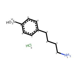 Cl.NCCCCc1ccc(S(=O)(=O)O)cc1